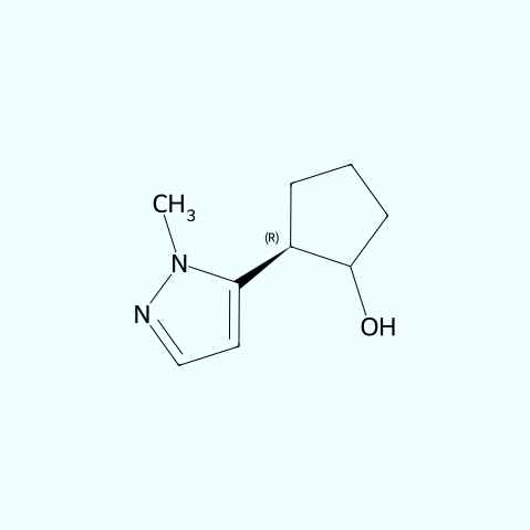 Cn1nccc1[C@H]1CCCC1O